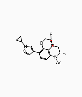 CC(=O)N1c2ccc(-c3cnn(C4CC4)c3)c3c2C2(C[C@@H]1C)OCC2(F)CO3